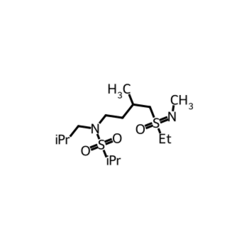 CCS(=O)(CC(C)CCN(CC(C)C)S(=O)(=O)C(C)C)=NC